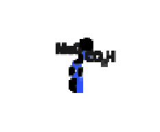 COc1ccccc1N(CCCN1CCN(c2cccnn2)CC1)C(=O)O